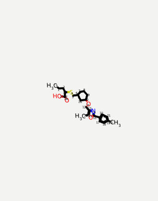 CCCC(SCC1CCCC(OCc2nc(-c3ccc(C)cc3)oc2C)C1)C(=O)O